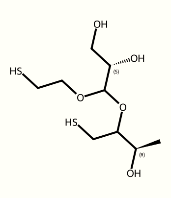 C[C@@H](O)C(CS)OC(OCCS)[C@@H](O)CO